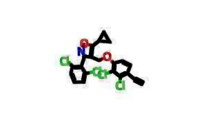 C#Cc1ccc(OCc2c(-c3c(Cl)cccc3Cl)noc2C2CC2)c(Cl)c1Cl